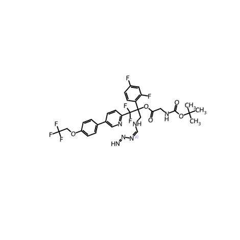 CC(C)(C)OC(=O)NCC(=O)OC(CN/C=N\N=N)(c1ccc(F)cc1F)C(F)(F)c1ccc(-c2ccc(OCC(F)(F)F)cc2)cn1